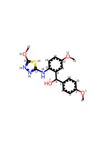 COc1ccc(C(O)c2cc(OC)ccc2Nc2nnc(OC)s2)cc1